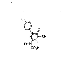 CCN(C(=O)O)c1nn(-c2ccc(Cl)cc2)c(=O)c(C#N)c1C